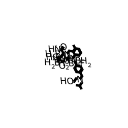 BC(B)(Nc1cccc(C)c1CN(C=O)C(C(=O)NC)C(B)(B)C(B)(O)C=O)c1ccc(CN(CCO)CC(C)C)cc1F